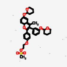 CC1=C2C=C(OC3CCCCO3)C=CC2OC(c2ccc(OCCOS(C)(=O)=O)cc2)=C1c1cccc(OC2CCCCO2)c1